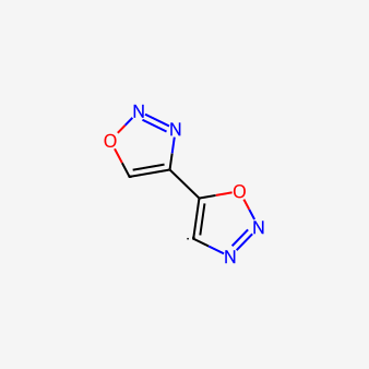 [c]1nnoc1-c1conn1